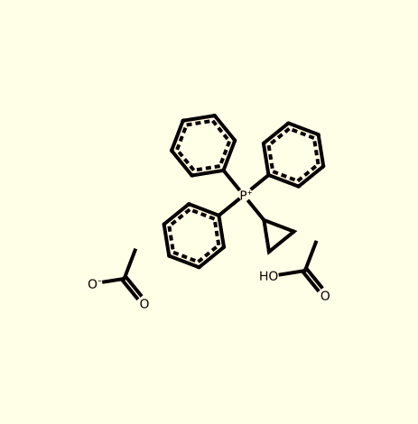 CC(=O)O.CC(=O)[O-].c1ccc([P+](c2ccccc2)(c2ccccc2)C2CC2)cc1